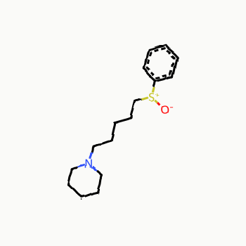 [O-][S+](CCCCCN1CC[CH]CC1)c1ccccc1